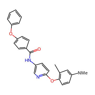 CNc1ccc(Oc2ccc(NC(=O)c3ccc(Oc4ccccc4)cc3)cn2)c(C)c1